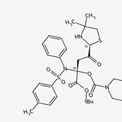 Cc1ccc(S(=O)(=O)N(c2ccccc2)[C@](CC(=O)[C@H]2NC(C)(C)CS2)(OC(=O)N2CCSCC2)C(=O)OC(C)(C)C)cc1